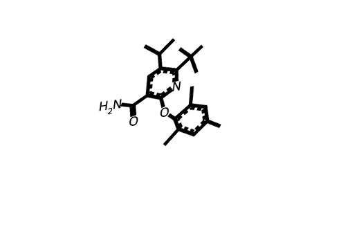 Cc1cc(C)c(Oc2nc(C(C)(C)C)c(C(C)C)cc2C(N)=O)c(C)c1